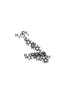 CC(C)CCCOc1ccc(-c2cnc(-c3ccc(C[C@H](NC(=O)c4ccc(C(C)(C)C)s4)C(=O)NC(C(=O)O)C(O)c4ccccc4)cc3)nc2)cc1